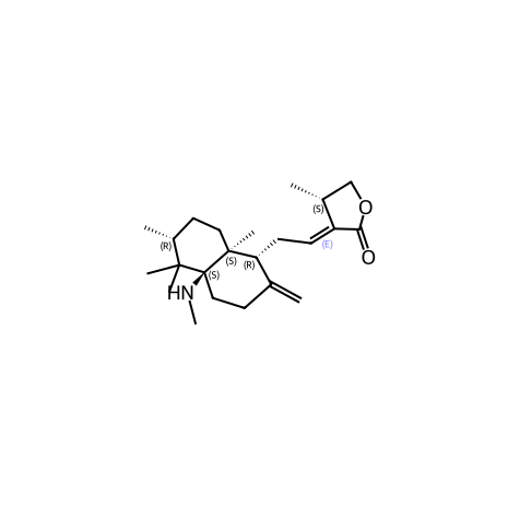 C=C1CC[C@]2(NC)C(C)(C)[C@H](C)CC[C@@]2(C)[C@@H]1C/C=C1/C(=O)OC[C@H]1C